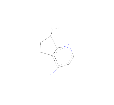 CC(=O)OC1CCc2c(N)ccnc21